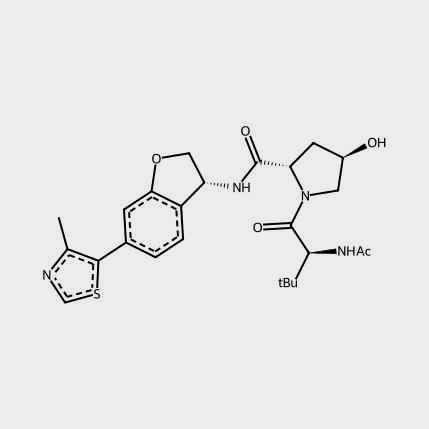 CC(=O)N[C@H](C(=O)N1C[C@H](O)C[C@H]1C(=O)N[C@H]1COc2cc(-c3scnc3C)ccc21)C(C)(C)C